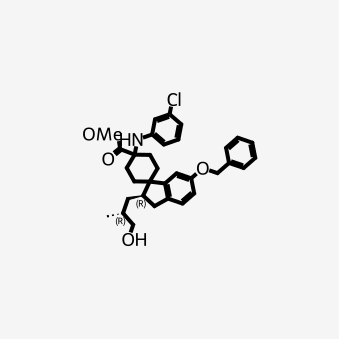 COC(=O)C1(Nc2cccc(Cl)c2)CCC2(CC1)c1cc(OCc3ccccc3)ccc1C[C@H]2C[C@@H](C)CO